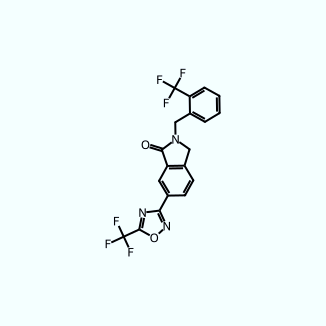 O=C1c2cc(-c3noc(C(F)(F)F)n3)ccc2CN1Cc1ccccc1C(F)(F)F